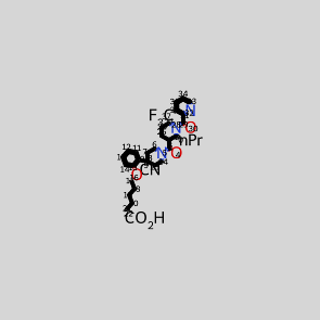 CCCC1C(C(=O)N2CCC(C#N)(c3ccccc3OCCCCCC(=O)O)CC2)CCCN1C(=O)c1ncccc1C(F)(F)F